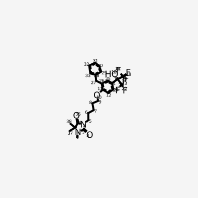 CN1C(=O)N(CCCCCOc2ccc(C(O)(C(F)(F)F)C(F)(F)F)cc2Cc2ccccc2)C(=O)C1(C)C